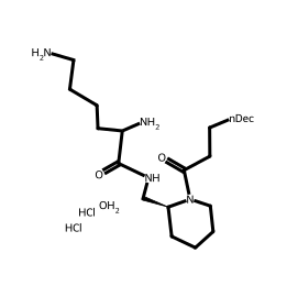 CCCCCCCCCCCCC(=O)N1CCCC[C@H]1CNC(=O)C(N)CCCCN.Cl.Cl.O